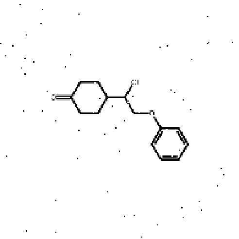 O=C1CCC(C(O)COc2ccccc2)CC1